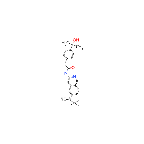 CC(C)(O)c1ccc(CC(=O)Nc2cc3cc([C@@]4(C#N)CC45CC5)ccc3cn2)cc1